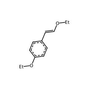 CCOC=Cc1ccc(OCC)cc1